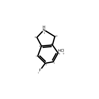 Cl.Fc1ccc2c(c1)CNC2